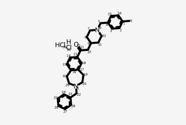 Cc1ccc(CN2CCC(CC(=O)c3ccc4c(c3)CCN(Cc3ccccc3)CC4)CC2)cc1.Cl.Cl